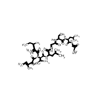 CCC(C)C(N)C(=O)N(C(=O)C(N)C(C)CC)C(C(=O)NC(CC(C)C)C(=O)NCC(=O)NC(CO)C(=O)NC(CC(C)C)C(=O)NCC(=O)O)C(C)C